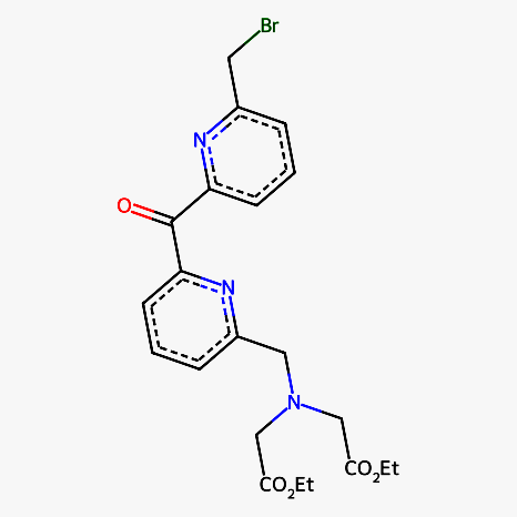 CCOC(=O)CN(CC(=O)OCC)Cc1cccc(C(=O)c2cccc(CBr)n2)n1